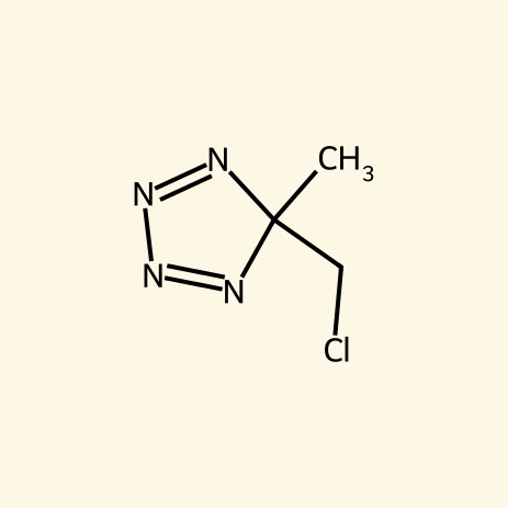 CC1(CCl)N=NN=N1